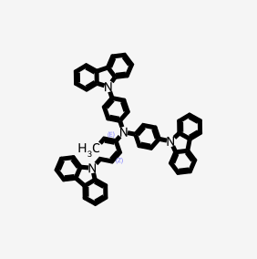 C/C=C(\C=C/Cn1c2ccccc2c2ccccc21)N(c1ccc(-n2c3ccccc3c3ccccc32)cc1)c1ccc(-n2c3ccccc3c3ccccc32)cc1